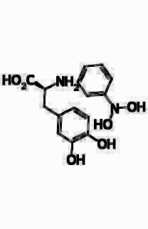 N[C@@H](Cc1ccc(O)c(O)c1)C(=O)O.ON(O)c1ccccc1